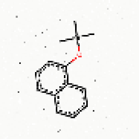 C[Si](C)(C)Oc1cc[c]c2ccccc12